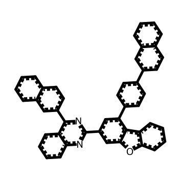 c1ccc2cc(-c3ccc(-c4cc(-c5nc(-c6ccc7ccccc7c6)c6ccccc6n5)cc5oc6ccccc6c45)cc3)ccc2c1